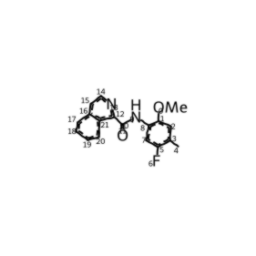 COc1cc(C)c(F)cc1NC(=O)c1nccc2ccccc12